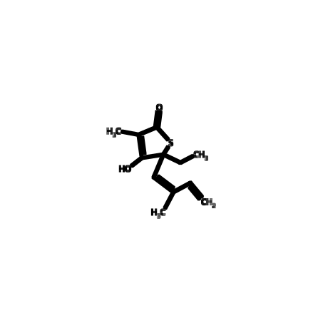 C=CC(C)=CC1(CC)SC(=O)C(C)=C1O